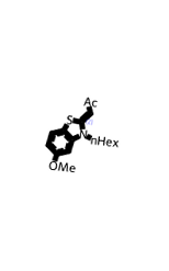 CCCCCCN1/C(=C/C(C)=O)Sc2ccc(OC)cc21